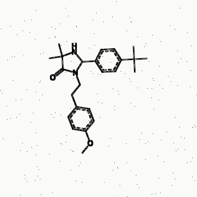 COc1ccc(CCN2C(=O)C(C)(C)NC2c2ccc(C(C)(C)C)cc2)cc1